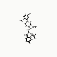 COc1ccc(F)cc1N1CCN(CCCNc2ccc(C)cc2C(=O)N(C)C)CC1.Cl